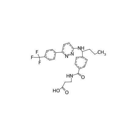 CCCC(Nc1ccc(-c2ccc(C(F)(F)F)cc2)nn1)c1ccc(C(=O)NCCC(=O)O)cc1